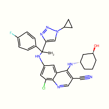 BC(Nc1cc(Cl)c2ncc(C#N)c(N[C@H]3CCC[C@H](O)C3)c2c1)(c1ccc(F)cc1)c1cn(C2CC2)nn1